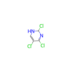 ClC1=CNC(Cl)N=C1Cl